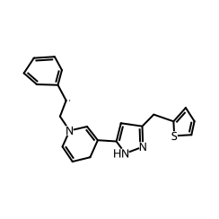 [CH](CN1C=CCC(c2cc(Cc3cccs3)n[nH]2)=C1)c1ccccc1